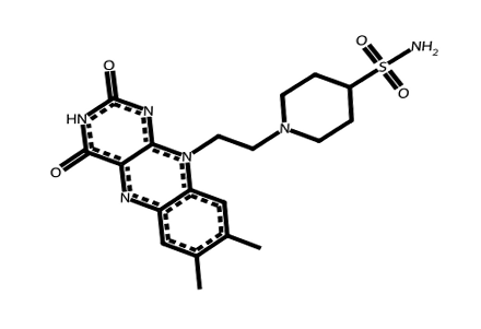 Cc1cc2nc3c(=O)[nH]c(=O)nc-3n(CCN3CCC(S(N)(=O)=O)CC3)c2cc1C